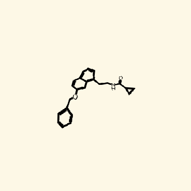 O=C(NCCc1cccc2ccc(OCc3ccccc3)cc12)C1CC1